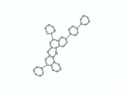 c1ccc(-c2ccc(-c3ccc4c(c3)c(-c3ccccc3)cc3cc5cc(-c6ccccc6)c6ccccc6c5nc34)cc2)cc1